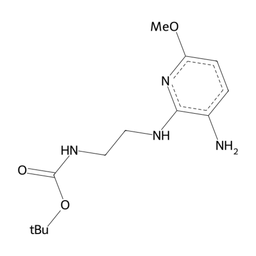 COc1ccc(N)c(NCCNC(=O)OC(C)(C)C)n1